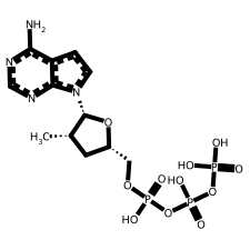 C[C@H]1C[C@@H](COP(=O)(O)OP(=O)(O)OP(=O)(O)O)O[C@H]1n1ccc2c(N)ncnc21